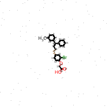 Cc1cccc(C(=CCSc2ccc(OCC(=O)O)c(Br)c2)c2ccccc2)c1